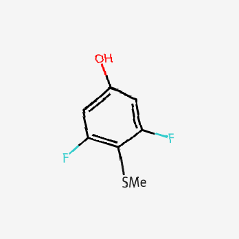 CSc1c(F)cc(O)cc1F